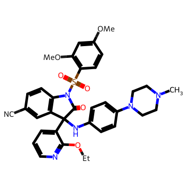 CCOc1ncccc1C1(Nc2ccc(N3CCN(C)CC3)cc2)C(=O)N(S(=O)(=O)c2ccc(OC)cc2OC)c2ccc(C#N)cc21